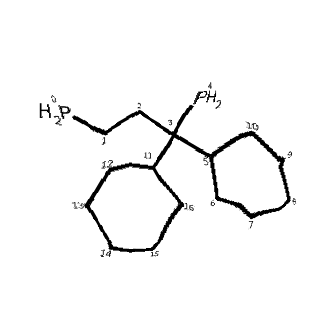 PCCC(P)(C1CCCCC1)C1CCCCC1